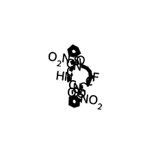 O=[N+]([O-])c1ccccc1S(=O)(=O)N1CCCC(F)CCCN(S(=O)(=O)c2ccccc2[N+](=O)[O-])CCNCC1